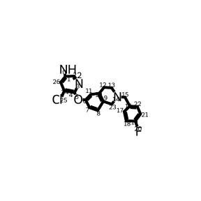 Nc1cnc(Oc2ccc3c(c2)CCN(Cc2ccc(F)cc2)C3)c(Cl)c1